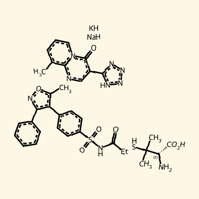 CC(C)(S)[C@@H](N)C(=O)O.CCC(=O)NS(=O)(=O)c1ccc(-c2c(-c3ccccc3)noc2C)cc1.Cc1cccn2c(=O)c(-c3nnn[nH]3)cnc12.[KH].[NaH]